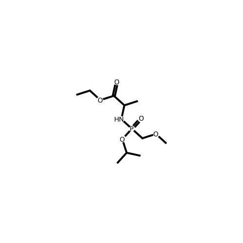 CCOC(=O)C(C)NP(=O)(COC)OC(C)C